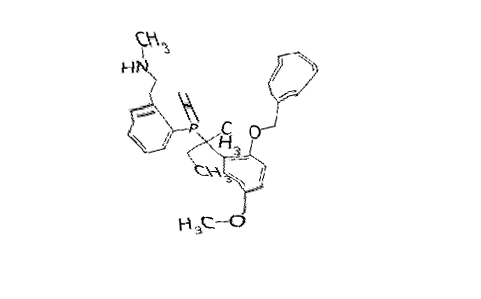 CCC(C)(Pc1ccccc1CNC)c1cc(OC)ccc1OCc1ccccc1